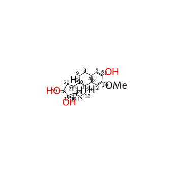 COc1cc2c(cc1O)CC[C@@H]1[C@@H]2CC[C@]2(C)[C@H](O)C(O)C[C@@H]12